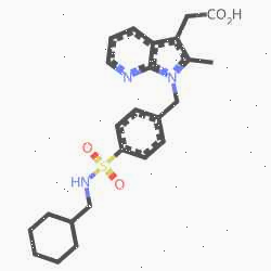 Cc1c(CC(=O)O)c2cccnc2n1Cc1ccc(S(=O)(=O)NCC2CCCCC2)cc1